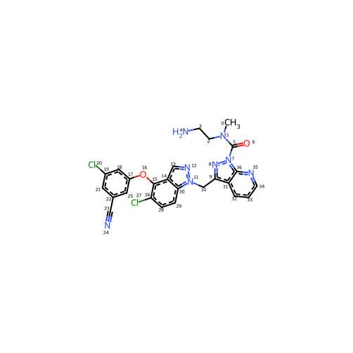 CN(CCN)C(=O)n1nc(Cn2ncc3c(Oc4cc(Cl)cc(C#N)c4)c(Cl)ccc32)c2cccnc21